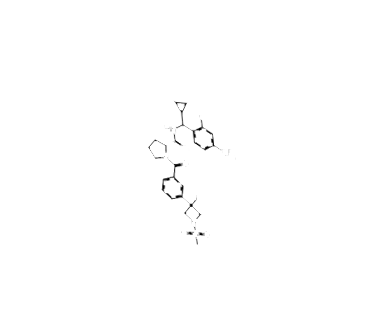 CS(=O)(=O)N1CC(F)(c2cccc(C(=O)N3CCC[C@@H]3C(=O)NC(c3ccc(C(F)(F)F)cc3F)C3CC3)c2)C1